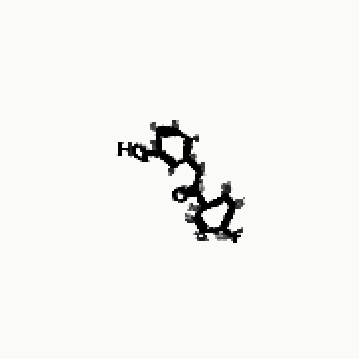 O=C(Cc1cccc(O)c1)c1ccc(F)cc1